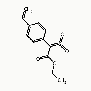 C=Cc1ccc(C(C(=O)OCC)=S(=O)=O)cc1